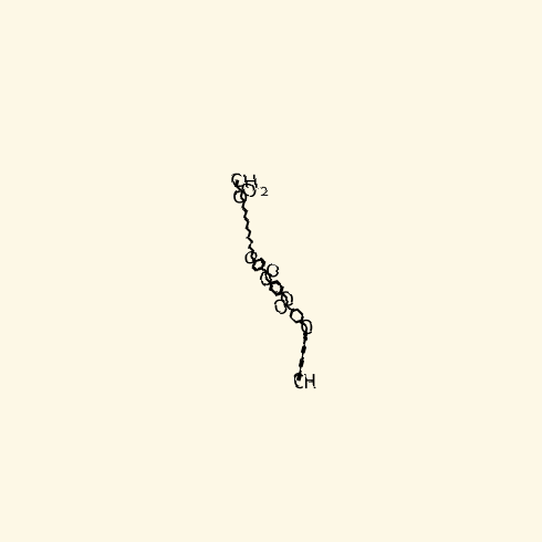 C#CC#CC#CC#COC1CCC(C(=O)Oc2ccc(OC(=O)c3ccc(OCCCCCCCCCCCOC(=O)C=C)cc3)cc2)CC1